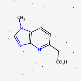 Cn1cnc2nc(CC(=O)O)ccc21